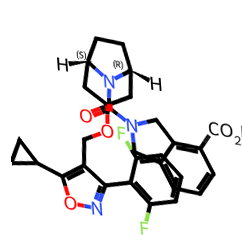 O=C(O)c1cccc2c1CN(C(=O)N1[C@@H]3CC[C@H]1CC(OCc1c(-c4c(F)cccc4F)noc1C1CC1)C3)C2